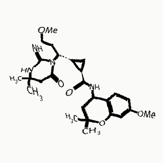 COCCC([C@@H]1C[C@H]1C(=O)NC1CC(C)(C)Oc2cc(OC)ccc21)N1C(=N)NC(C)(C)CC1=O